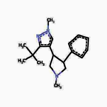 CN1CC(c2ccccc2)C(c2cn(C)nc2C(C)(C)C)C1